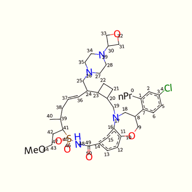 CCCc1cc(Cl)ccc1C1COc2ccc3cc2N(C1)CC1CCC1C(CN1CCN(C2COC2)CC1)/C=C/CC(C)C(CCOC)S(=O)(=O)NC3=O